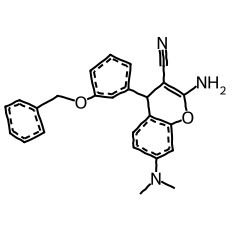 CN(C)c1ccc2c(c1)OC(N)=C(C#N)C2c1cccc(OCc2ccccc2)c1